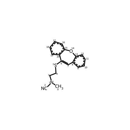 CN(C#N)CCSC1=Cc2ccccc2Oc2ccccc21